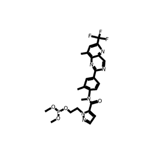 COP(OC)OCCn1nccc1C(=O)N(C)c1ccc(-c2ncc3nc(C(F)(F)F)cc(C)c3n2)cc1C